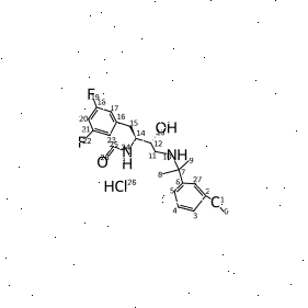 CCc1cccc(C(C)(C)NC[C@@H](O)[C@H](Cc2cc(F)cc(F)c2)NC=O)c1.Cl